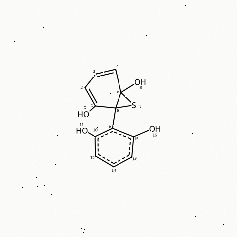 OC1=CC=CC2(O)SC12c1c(O)cccc1O